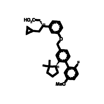 COc1ccc(F)c(-c2ccc(COc3cccc([C@@H](CC(=O)O)CC4CC4)c3)cc2[C@@H]2CCCC2(C)C)c1